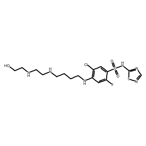 O=S(=O)(Nc1ncns1)c1cc(Cl)c(NCCCCNCCNCCO)cc1F